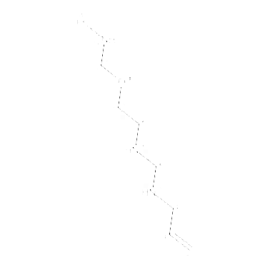 C=CCNCNCCOCNCC